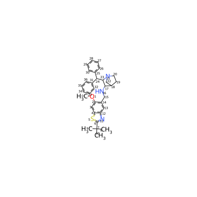 COc1cc2sc(C(C)(C)C)nc2cc1CNC1C2CCN(C2)C1C(c1ccccc1)c1ccccc1